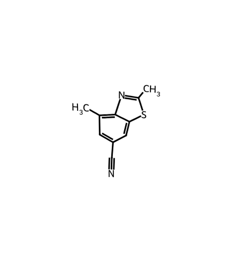 Cc1nc2c(C)cc(C#N)cc2s1